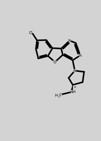 CN[C@@H]1CCN(c2n[c]nc3c2oc2ccc(Cl)cc23)C1